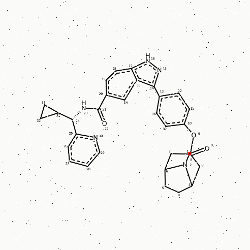 O=CN1C2CCC1CC(Oc1ccc(-c3n[nH]c4ccc(C(=O)N[C@H](c5ccccn5)C5CC5)cc34)cc1)C2